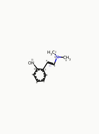 CN(C)/C=C/c1ccccc1N=O